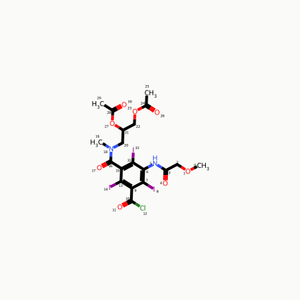 COCC(=O)Nc1c(I)c(C(=O)Cl)c(I)c(C(=O)N(C)CC(COC(C)=O)OC(C)=O)c1I